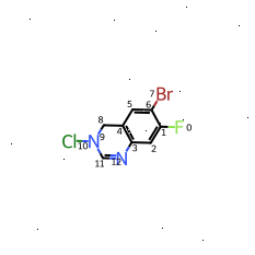 Fc1cc2c(cc1Br)CN(Cl)C=N2